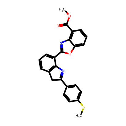 COC(=O)c1cccc2oc(-c3cccc4c3N=C(c3ccc(SC)cc3)C4)nc12